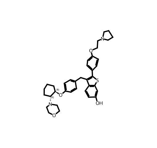 Oc1ccc2c(Cc3ccc(O[C@@H]4CCCC[C@H]4N4CCOCC4)cc3)c(-c3ccc(OCCN4CCCC4)cc3)sc2c1